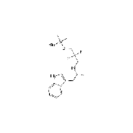 C[C@H](Cc1c[nH]c2ccccc12)NCC(F)(F)CO[Si](C)(C)C(C)(C)C